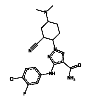 CN(C)C1CCC(n2cc(C(N)=O)c(Nc3ccc(Cl)c(F)c3)n2)C(C#N)C1